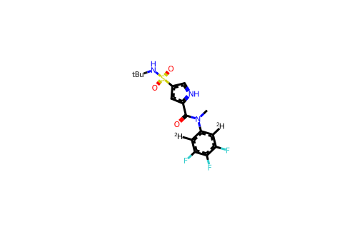 [2H]c1c(F)c(F)c(F)c([2H])c1N(C)C(=O)c1cc(S(=O)(=O)NC(C)(C)C)c[nH]1